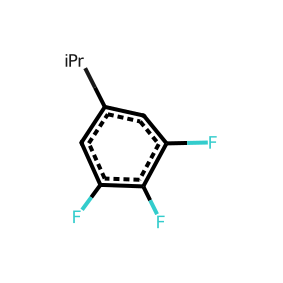 CC(C)c1cc(F)c(F)c(F)c1